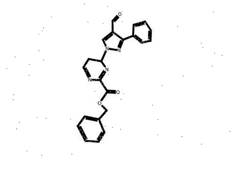 O=Cc1cn(C2CC=NC(C(=O)OCc3ccccc3)=N2)nc1-c1ccccc1